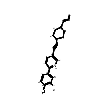 CC=CC1CCC(C#Cc2ccc(-c3ccc(Cl)c(F)c3)nc2)CC1